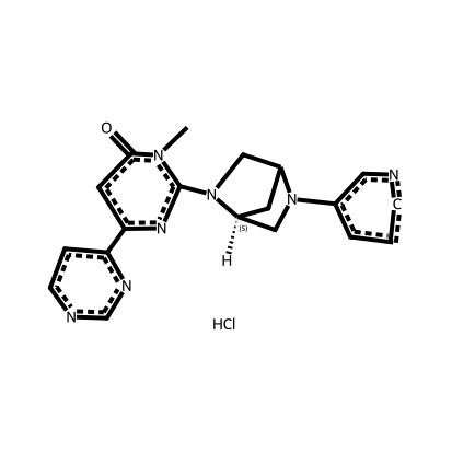 Cl.Cn1c(N2CC3C[C@H]2CN3c2cccnc2)nc(-c2ccncn2)cc1=O